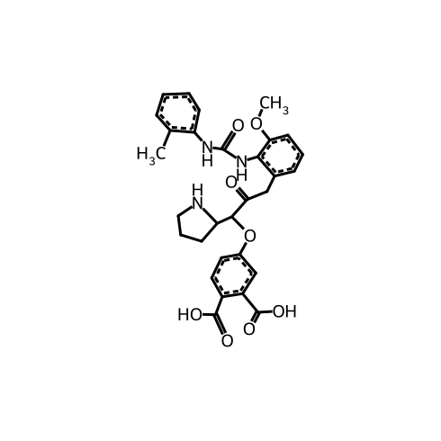 COc1cccc(CC(=O)C(Oc2ccc(C(=O)O)c(C(=O)O)c2)C2CCCN2)c1NC(=O)Nc1ccccc1C